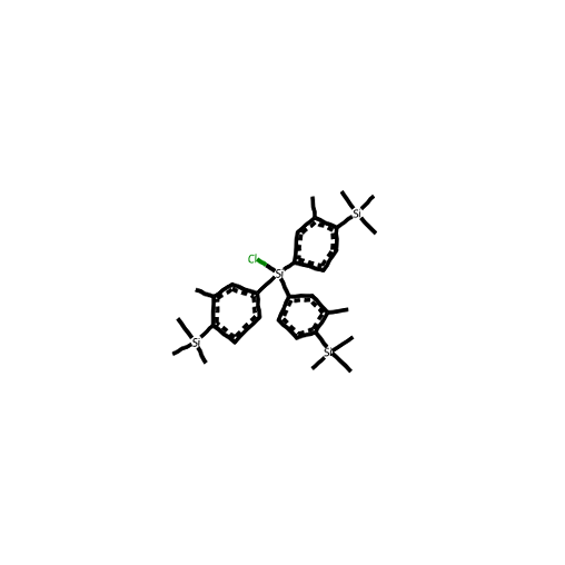 Cc1cc([Si](Cl)(c2ccc([Si](C)(C)C)c(C)c2)c2ccc([Si](C)(C)C)c(C)c2)ccc1[Si](C)(C)C